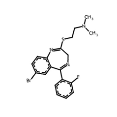 CN(C)CCSC1=Nc2ccc(Br)cc2C(c2ccccc2F)=NC1